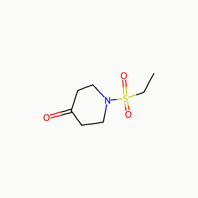 CCS(=O)(=O)N1CCC(=O)CC1